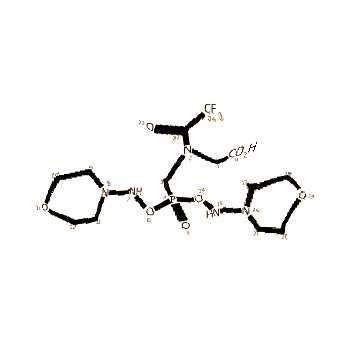 O=C(O)CN(CP(=O)(ONN1CCOCC1)ONN1CCOCC1)C(=O)C(F)(F)F